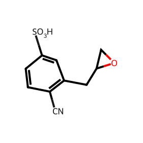 N#Cc1ccc(S(=O)(=O)O)cc1CC1CO1